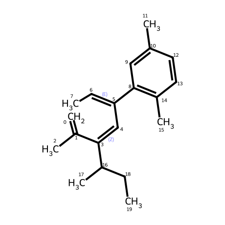 C=C(C)/C(=C\C(=C/C)c1cc(C)ccc1C)C(C)CC